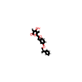 Cc1c(-c2cc3cc(OCC(C)c4ccccc4)ccc3o2)oc(=O)c(C)c1O